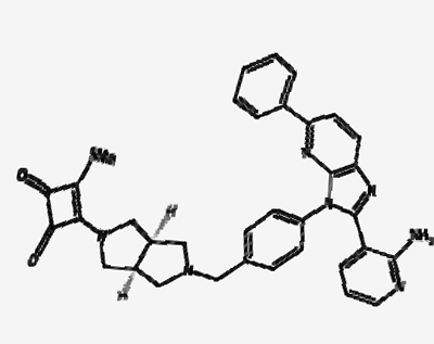 CSc1c(N2C[C@H]3CN(Cc4ccc(-n5c(-c6cccnc6N)nc6ccc(-c7ccccc7)nc65)cc4)C[C@H]3C2)c(=O)c1=O